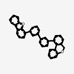 c1cc(-c2cccc(-c3cccc4c3oc3ccccc34)c2)cc(-c2cccc3c2-c2ccccc2OC3)c1